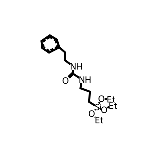 CCO[Si](CCCNC(=O)NCCc1ccccc1)(OCC)OCC